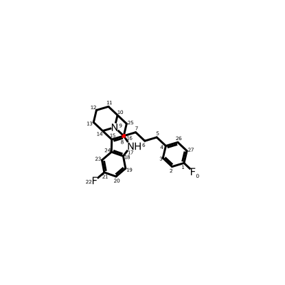 Fc1ccc(CCCCN2C3CCCC2c2c([nH]c4ccc(F)cc24)C3)cc1